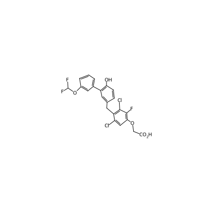 O=C(O)COc1cc(Cl)c(Cc2ccc(O)c(-c3cccc(OC(F)F)c3)c2)c(Cl)c1F